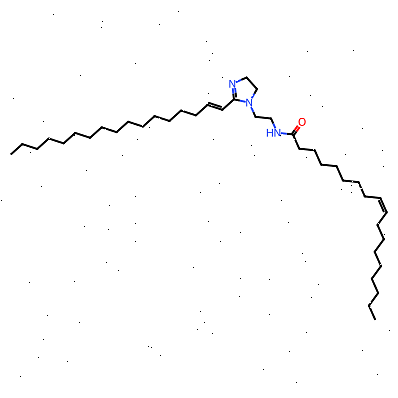 CCCCCCCC/C=C\CCCCCCCC(=O)NCCN1CCN=C1/C=C/CCCCCCCCCCCCCCC